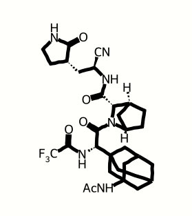 CC(=O)NC12CC3CC(C1)CC([C@H](NC(=O)C(F)(F)F)C(=O)N1[C@@H]4CC[C@@H](C4)[C@H]1C(=O)N[C@H](C#N)C[C@@H]1CCNC1=O)(C3)C2